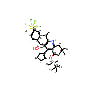 CC(C)c1nc2c(c(C3=CCCC3)c1[C@H](O)c1ccc(S(F)(F)(F)(F)F)cc1)C(O[Si](C)(C)C(C)(C)C)CC(C)(C)C2